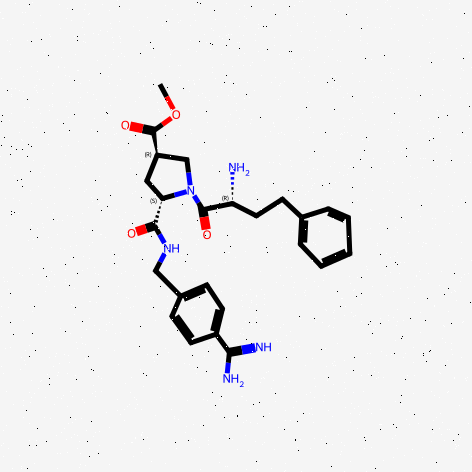 COC(=O)[C@@H]1C[C@@H](C(=O)NCc2ccc(C(=N)N)cc2)N(C(=O)[C@H](N)CCc2ccccc2)C1